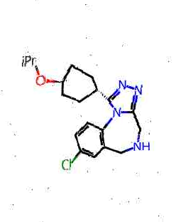 CC(C)O[C@H]1CC[C@H](c2nnc3n2-c2ccc(Cl)cc2CNC3)CC1